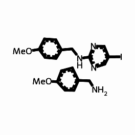 COc1ccc(CN)cc1.COc1ccc(CNc2ncc(I)cn2)cc1